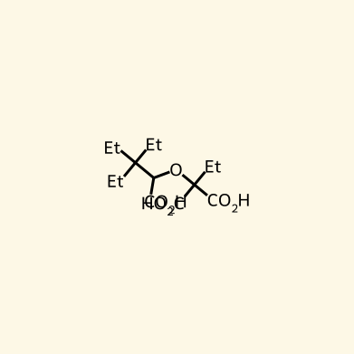 CCC(OC(C(=O)O)C(CC)(CC)CC)(C(=O)O)C(=O)O